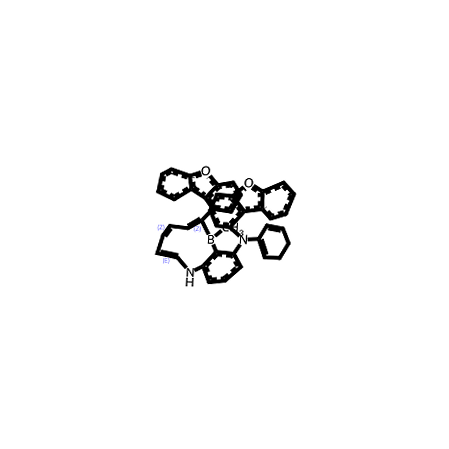 CB1/C(c2cccc3oc4ccccc4c23)=C/C=C\C=C\Nc2cccc(N(C3=CCCC=C3)c3cccc4oc5ccccc5c34)c21